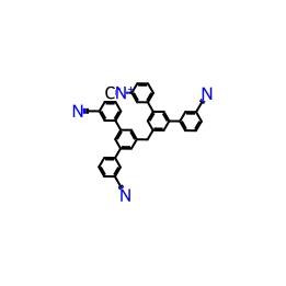 [C-]#[N+]c1cccc(-c2cc(Cc3cc(-c4cccc(C#N)c4)cc(-c4cccc(C#N)c4)c3)cc(-c3cccc(C#N)c3)c2)c1